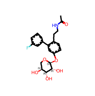 CC(=O)NCCc1ccc(O[C@@H]2OC[C@H](O)[C@@H](O)[C@H]2O)cc1-c1cccc(F)c1